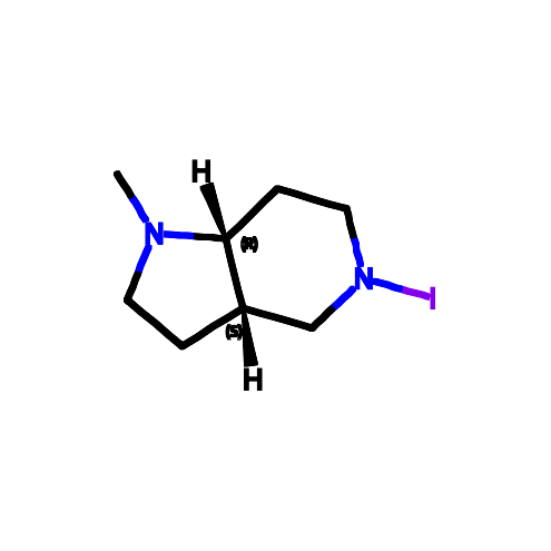 CN1CC[C@H]2CN(I)CC[C@H]21